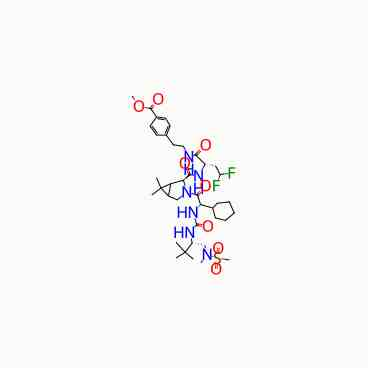 COC(=O)c1ccc(CCNC(=O)[C@H](CC(F)F)NC(=O)[C@@H]2C3C(CN2C(=O)[C@@H](NC(=O)N[C@H](CN(C)S(C)(=O)=O)C(C)(C)C)C2CCCCC2)C3(C)C)cc1